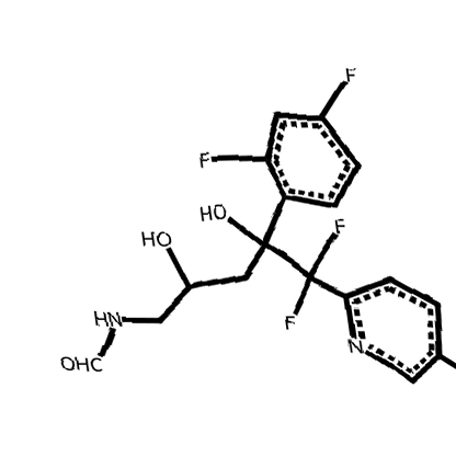 O=CNCC(O)CC(O)(c1ccc(F)cc1F)C(F)(F)c1ccc(Br)cn1